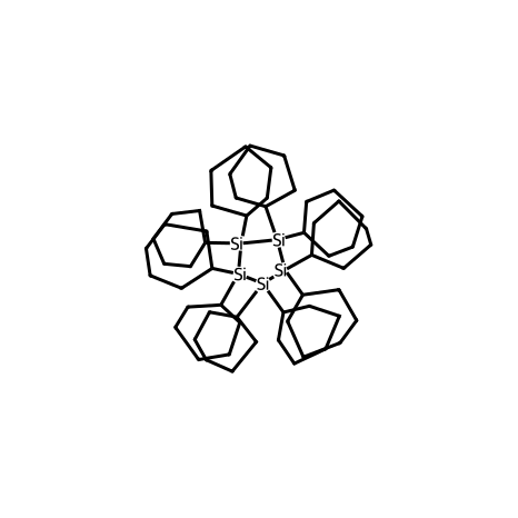 C1CCC([Si]2(C3CCCCC3)[Si](C3CCCCC3)(C3CCCCC3)[Si](C3CCCCC3)(C3CCCCC3)[Si](C3CCCCC3)(C3CCCCC3)[Si]2(C2CCCCC2)C2CCCCC2)CC1